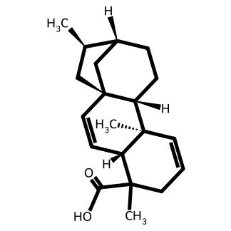 C[C@@H]1C[C@]23C=C[C@H]4C(C)(C(=O)O)CC=C[C@]4(C)[C@H]2CC[C@@H]1C3